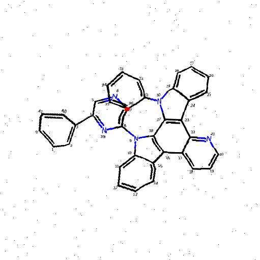 c1ccc(-c2cncc(-n3c4ccccc4c4c5cccnc5c5c6ccccc6n(-c6ccccc6)c5c43)n2)cc1